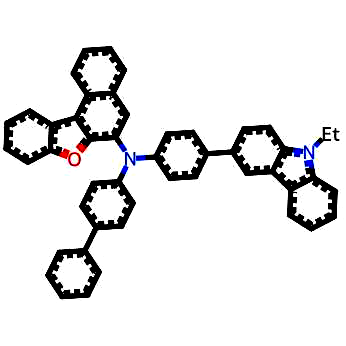 CCn1c2ccccc2c2cc(-c3ccc(N(c4ccc(-c5ccccc5)cc4)c4cc5ccccc5c5c4oc4ccccc45)cc3)ccc21